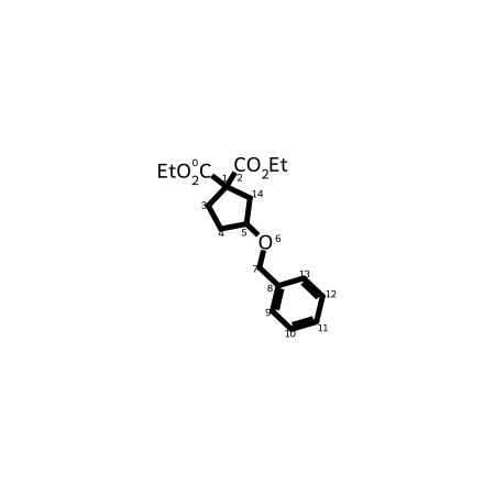 CCOC(=O)C1(C(=O)OCC)CCC(OCc2ccccc2)C1